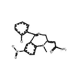 CN1C(=CC(N)=O)CN=C(c2ccccc2Cl)c2cc([N+](=O)[O-])ccc21